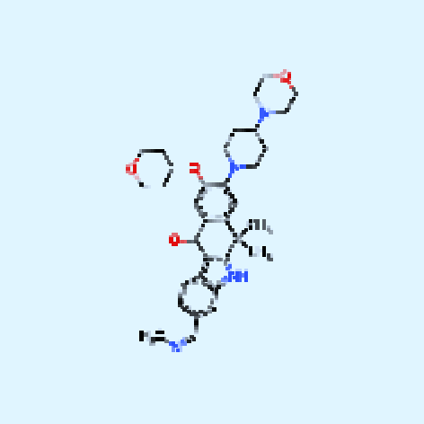 C/N=C\c1ccc2c3c([nH]c2c1)C(C)(C)c1cc(N2CCC(N4CCOCC4)CC2)c(OC2CCOCC2)cc1C3=O